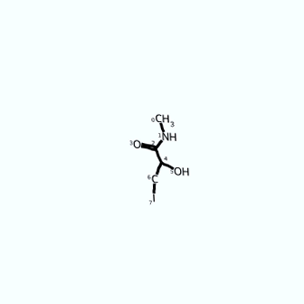 CNC(=O)C(O)CI